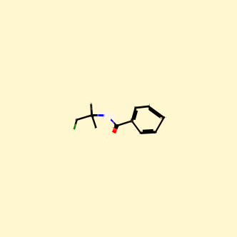 CC(CF)(NC(=O)c1ccccc1)C(=O)O